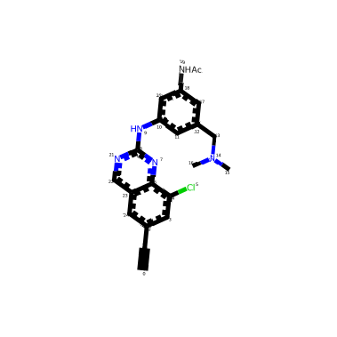 C#Cc1cc(Cl)c2nc(Nc3cc(CN(C)C)cc(NC(C)=O)c3)ncc2c1